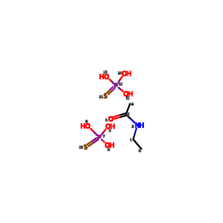 CCNC(C)=O.OP(O)(O)=S.OP(O)(O)=S